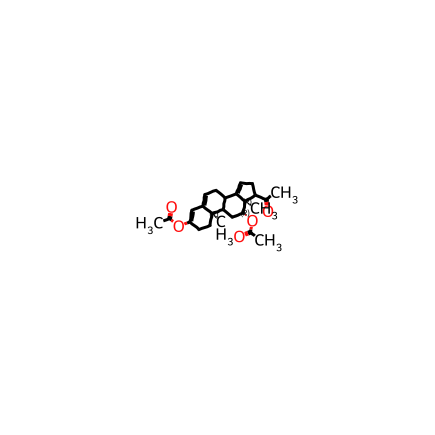 CC(=O)OC1=CC2=CCC3C4=CCC(C(C)=O)[C@@]4(C)[C@H](OC(C)=O)CC3[C@@]2(C)CC1